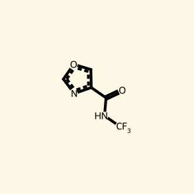 O=C(NC(F)(F)F)c1cocn1